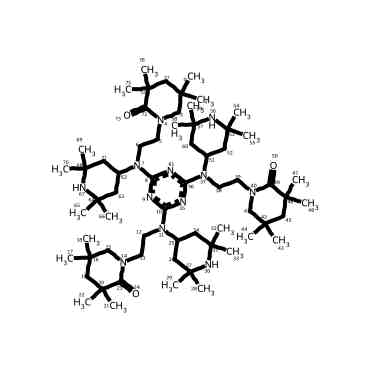 CC1(C)CN(CCN(c2nc(N(CCN3CC(C)(C)CC(C)(C)C3=O)C3CC(C)(C)NC(C)(C)C3)nc(N(CCN3CC(C)(C)CC(C)(C)C3=O)C3CC(C)(C)NC(C)(C)C3)n2)C2CC(C)(C)NC(C)(C)C2)C(=O)C(C)(C)C1